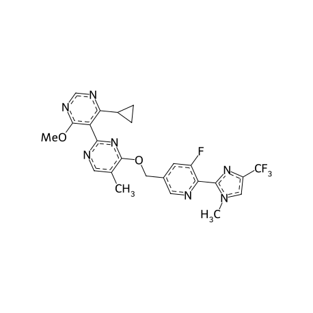 COc1ncnc(C2CC2)c1-c1ncc(C)c(OCc2cnc(-c3nc(C(F)(F)F)cn3C)c(F)c2)n1